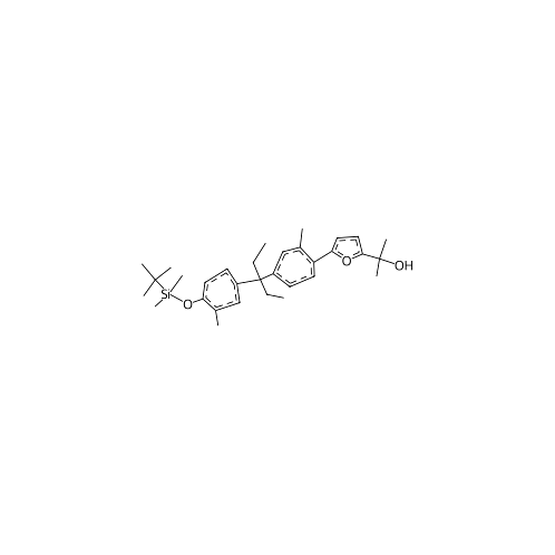 CCC(CC)(c1ccc(O[Si](C)(C)C(C)(C)C)c(C)c1)c1ccc(-c2ccc(C(C)(C)O)o2)c(C)c1